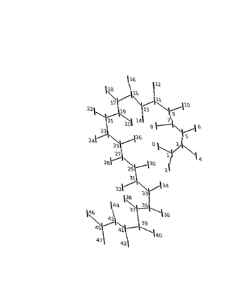 II(I)I(I)I(I)I(I)I(I)I(I)I(I)I(I)I(I)I(I)I(I)I(I)I(I)I(I)I(I)I(I)I(I)I(I)I(I)I(I)I(I)I(I)I(I)I